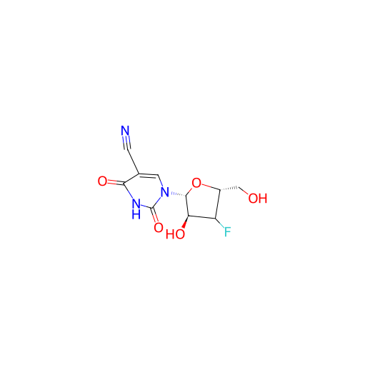 N#Cc1cn([C@@H]2O[C@H](CO)C(F)[C@H]2O)c(=O)[nH]c1=O